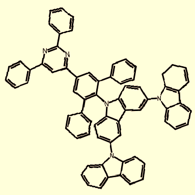 C1=Cc2c(n(-c3ccc4c(c3)c3cc(-n5c6ccccc6c6ccccc65)ccc3n4-c3c(-c4ccccc4)cc(-c4cc(-c5ccccc5)nc(-c5ccccc5)n4)cc3-c3ccccc3)c3ccccc23)CC1